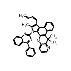 C=C/C=C\c1c(C)n(-c2nc(-c3ccccc3)c3ccccc3n2)c2c3c(c4ccccc4c12)C(C)(C)c1ncccc1O3